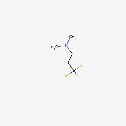 CN(C)CCC(F)(F)F